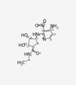 CCNC(=O)[C@@H]1C[C@H](Nc2nccc(N)c2[N+](=O)[O-])[C@@H](O)[C@H]1O